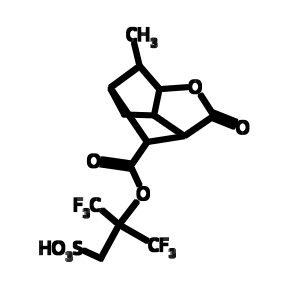 CC1C2CC3C1OC(=O)C3C2C(=O)OC(CS(=O)(=O)O)(C(F)(F)F)C(F)(F)F